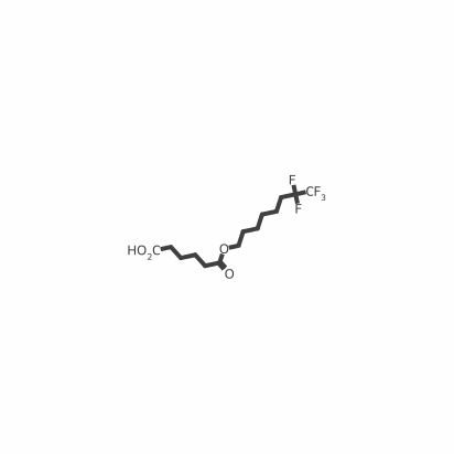 O=C(O)CCCCC(=O)OCCCCCCC(F)(F)C(F)(F)F